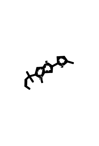 C/C=C\C(C)(C)c1cc2sc(-c3ccc(C)s3)cc2n1C